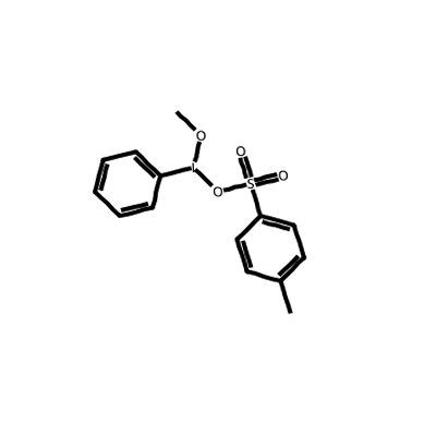 COI(OS(=O)(=O)c1ccc(C)cc1)c1ccccc1